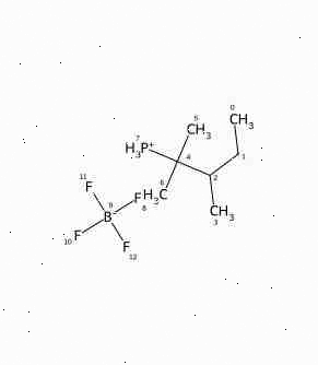 CCC(C)C(C)(C)[PH3+].F[B-](F)(F)F